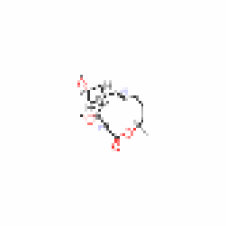 CO[C@@H]1C[C@@H]2[C@H](/C=C/CCC[C@H](C)OC(=O)/C=C/[C@H]2OC)C1